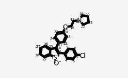 [O-][s+]1c(-c2ccc(Cl)cc2)c(-c2ccc(OCCN3CCCC3)cc2)c2ccccc21